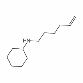 C=CCCCCNC1CCCCC1